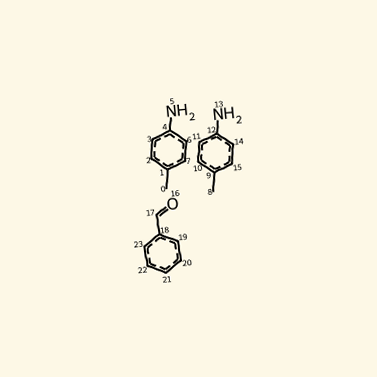 Cc1ccc(N)cc1.Cc1ccc(N)cc1.O=Cc1ccccc1